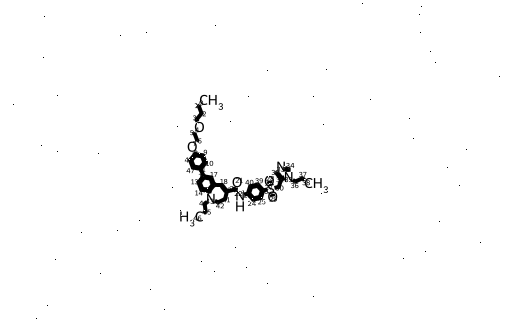 CCCCOCCOc1ccc(-c2ccc3c(c2)C=C(C(=O)Nc2ccc(S(=O)(=O)Cc4cncn4CCC)cc2)CCN3CCC)cc1